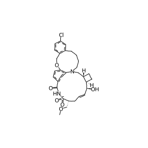 COC[C@H]1C/C=C/[C@H](O)[C@@H]2CC[C@H]2CN2CCCCc3cc(Cl)ccc3COc3ccc(cc32)C(=O)NS1(=O)=O